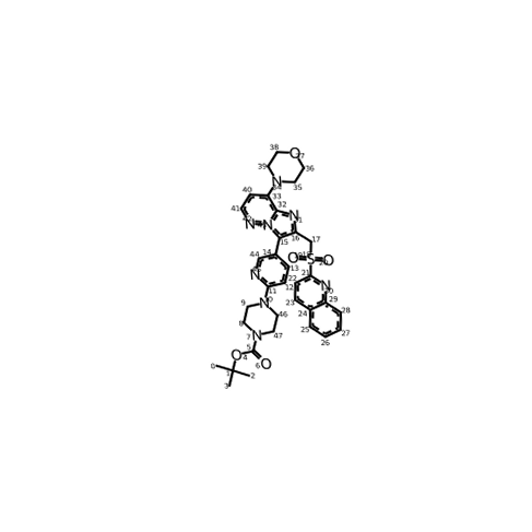 CC(C)(C)OC(=O)N1CCN(c2ccc(-c3c(CS(=O)(=O)c4ccc5ccccc5n4)nc4c(N5CCOCC5)ccnn34)cn2)CC1